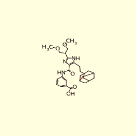 COCC(COC)c1nc(C(=O)Nc2cccc(C(=O)O)c2)c(CCC23CC4CC(CC(C4)C2)C3)[nH]1